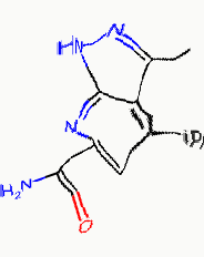 Cc1n[nH]c2nc(C(N)=O)cc(C(C)C)c12